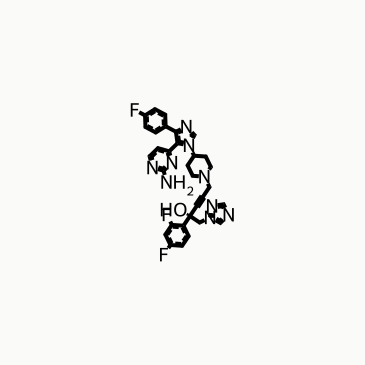 Nc1nccc(-c2c(-c3ccc(F)cc3)ncn2C2CCN(CC#C[C@](O)(Cn3cncn3)c3ccc(F)cc3F)CC2)n1